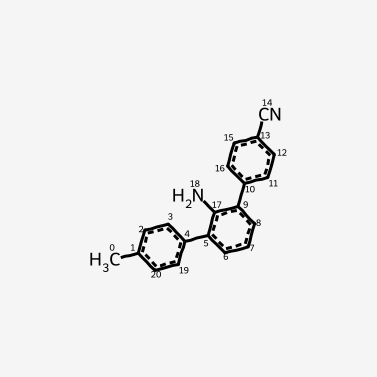 Cc1ccc(-c2cccc(-c3ccc(C#N)cc3)c2N)cc1